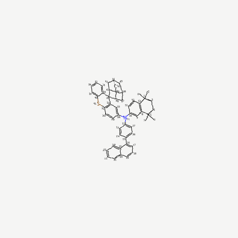 CC1(C)CCC(C)(C)c2cc(N(c3ccc(-c4cccc5ccccc45)cc3)c3ccc4c(c3)C3(c5ccccc5S4)C4CC5CC6CC3C64C5)ccc21